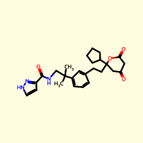 CC(C)(CNC(=O)c1cc[nH]n1)c1cccc(CCC2(C3CCCC3)CC(=O)CC(=O)O2)c1